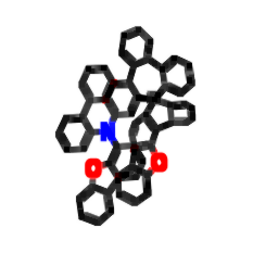 c1ccc(-c2ccccc2N(c2ccc3c(c2)[C@@]2(c4ccccc4-c4ccccc4-3)c3ccccc3-c3c2ccc2c3oc3ccccc32)c2cccc3c2oc2ccccc23)cc1